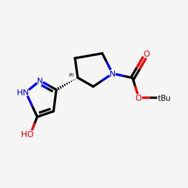 CC(C)(C)OC(=O)N1CC[C@@H](c2cc(O)[nH]n2)C1